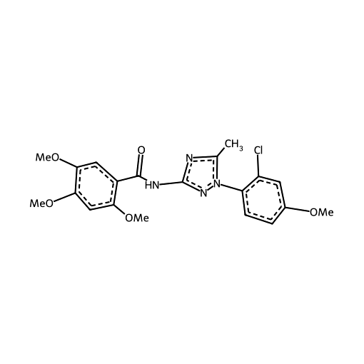 COc1ccc(-n2nc(NC(=O)c3cc(OC)c(OC)cc3OC)nc2C)c(Cl)c1